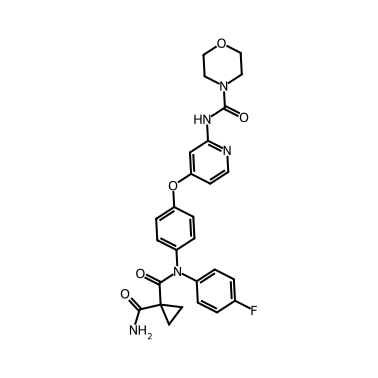 NC(=O)C1(C(=O)N(c2ccc(F)cc2)c2ccc(Oc3ccnc(NC(=O)N4CCOCC4)c3)cc2)CC1